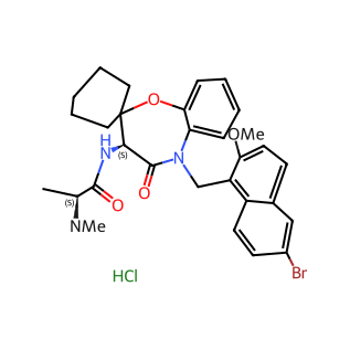 CN[C@@H](C)C(=O)N[C@@H]1C(=O)N(Cc2c(OC)ccc3cc(Br)ccc23)c2ccccc2OC12CCCCC2.Cl